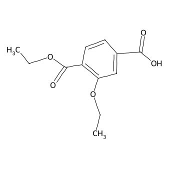 CCOC(=O)c1ccc(C(=O)O)cc1OCC